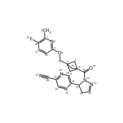 Cc1nc(OCC23CC(C(=O)N4N=CCC4c4cnc(C#N)cn4)(C2)C3)ccc1F